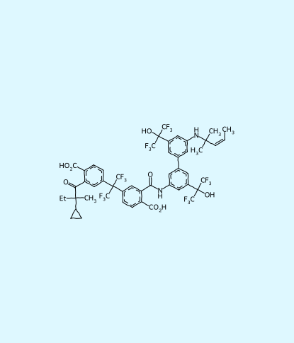 C/C=C\C(C)(C)Nc1cc(-c2cc(NC(=O)c3cc(C(c4ccc(C(=O)O)c(C(=O)C(C)(CC)C5CC5)c4)(C(F)(F)F)C(F)(F)F)ccc3C(=O)O)cc(C(O)(C(F)(F)F)C(F)(F)F)c2)cc(C(O)(C(F)(F)F)C(F)(F)F)c1